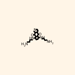 NCCCCNc1ccc(NCCCCN)c2c1C(=O)c1ccncc1C2=O